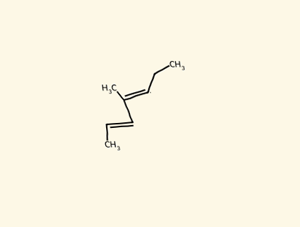 CC=C/C(C)=[C]/CC